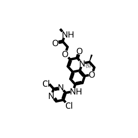 CNC(=O)COc1cc2cc(Nc3nc(Cl)ncc3Cl)cc3c2n(c1=O)[C@@H](C)CO3